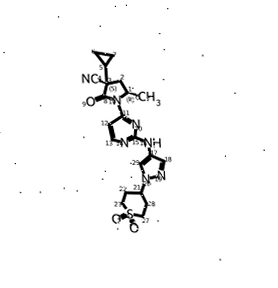 C[C@@H]1C[C@@](C#N)(C2CC2)C(=O)N1c1ccnc(Nc2cnn(C3CCS(=O)(=O)CC3)c2)n1